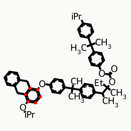 CCC(C)(OC(=O)Oc1ccc(C(C)(C)c2ccc(C(C)C)cc2)cc1)C(C)c1ccc(C(C)(C)c2ccc(Oc3ccc(OC(C)C)c4c3C3c5ccccc5C4c4ccccc43)cc2)cc1